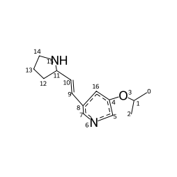 CC(C)Oc1cncc(C=CC2CCCN2)c1